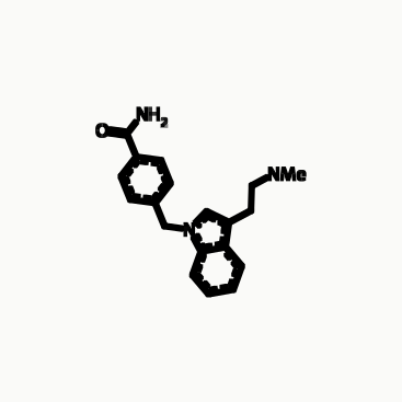 CNCCc1cn(Cc2ccc(C(N)=O)cc2)c2ccccc12